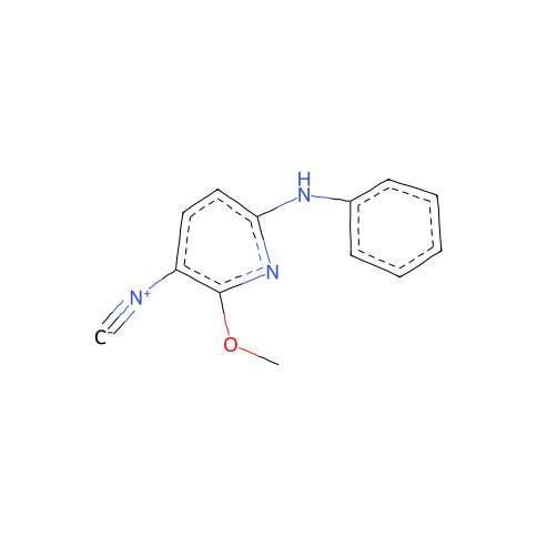 [C-]#[N+]c1ccc(Nc2ccccc2)nc1OC